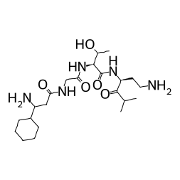 CC(C)C(=O)[C@H](CCN)NC(=O)[C@@H](NC(=O)CNC(=O)CC(N)C1CCCCC1)C(C)O